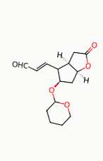 O=C/C=C/C1[C@H]2CC(=O)O[C@H]2C[C@H]1OC1CCCCO1